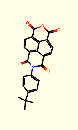 CC(C)(C)c1ccc(N2C(=O)c3ccc4c5c(ccc(c35)C2=O)C(=O)OC4=O)cc1